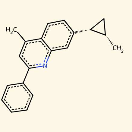 Cc1cc(-c2ccccc2)nc2cc([C@@H]3C[C@@H]3C)ccc12